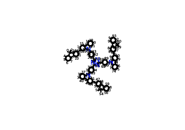 CC1(C)c2ccccc2-c2ccc(-c3ccc4c5ccccc5n(-c5ccc(-c6nc(-c7ccc(-n8c9ccccc9c9ccc(-c%10ccc%11c(c%10)C(C)(C)c%10ccccc%10-%11)cc98)cc7)nc(-c7ccc(-n8c9ccccc9c9ccc(-c%10ccc%11c(c%10)C(C)(C)c%10ccccc%10-%11)cc98)cc7)n6)cc5)c4c3)cc21